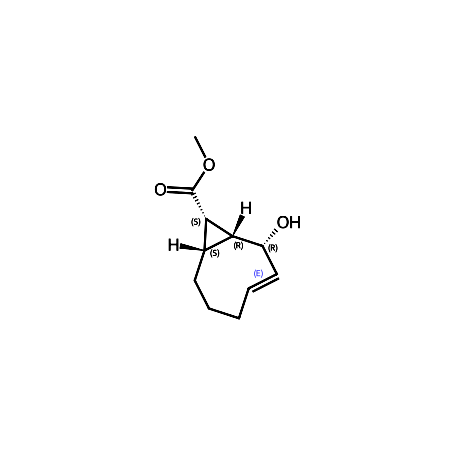 COC(=O)[C@H]1[C@H]2CCC/C=C/[C@@H](O)[C@H]21